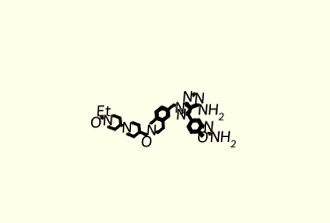 CCC(=O)N1CCC(N2CCC(C(=O)N3CCc4cc(Cn5nc(-c6ccc7oc(N)nc7c6)c6c(N)ncnc65)ccc4C3)CC2)CC1